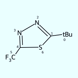 CC(C)(C)c1nnc(C(F)(F)F)s1